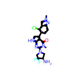 Cn1cc2c(Cl)c(-c3c[nH]c4nc(N5CC(N)C(F)(F)C5)n(C)c(=O)c34)ccc2n1